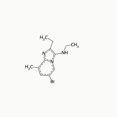 CCNc1c(CC)nc2c(C)cc(Br)cn12